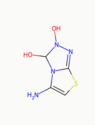 NC1=CSC2=NN(O)C(O)N12